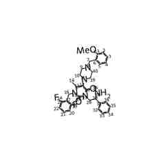 COc1ccccc1CN1CCN(c2c(C)n(Cc3c(F)cccc3F)c(=O)n(C[C@@H](N)c3ccccc3)c2=O)CC1